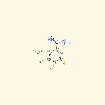 Cl.N=C(N)c1cc(F)c(F)c(F)c1